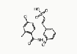 Cc1cc(Cl)ccc1C(N)=O.O=S(=O)(O)C=Cc1cccc(Cl)c1